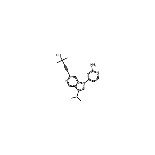 CC(C)c1cn(-c2ccnc(N)n2)c2cc(C#CC(C)(C)O)ncc12